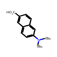 CC(C)(C)N(c1ccc2cc(C(=O)O)ccc2c1)C(C)(C)C